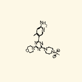 Cc1cc(N)ncc1-c1nc(N2CCOCC2)nc(N2CCN(S(C)(=O)=O)CC2)n1